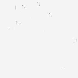 CON=Cc1c(N)ncnc1OCc1ccc(F)cc1Cl